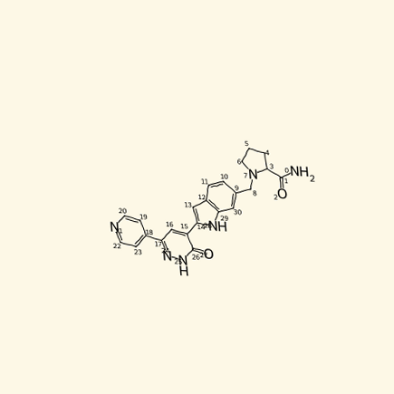 NC(=O)C1CCCN1Cc1ccc2cc(-c3cc(-c4ccncc4)n[nH]c3=O)[nH]c2c1